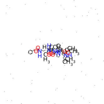 C=C([C@H](/C=C/[C@H](CC(C)C)NC(=O)OC(C)(C)C)Cc1ccccc1)N1CCC[C@H]1C(=O)N[C@H](C(=O)N[C@@H](CCCNC(=O)OCc1ccccc1)C(C)=O)C(C)C